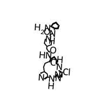 Nc1ccccc1NC(=O)N1CCC(CC(=O)Nc2ccc3cc2CCC2C=NC=C(C2)Nc2ncc(Cl)c(n2)N3)CC1